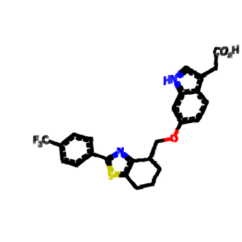 O=C(O)Cc1c[nH]c2cc(OCC3CCCc4sc(-c5ccc(C(F)(F)F)cc5)nc43)ccc12